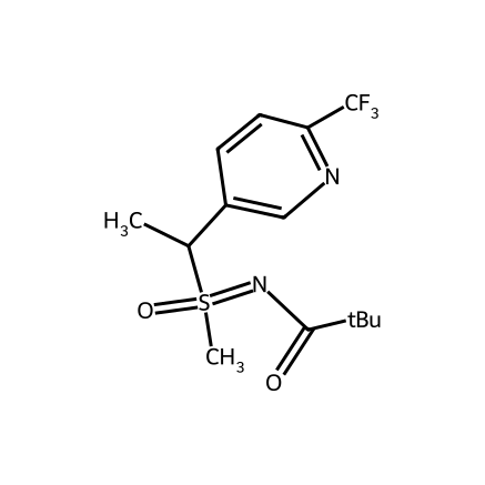 CC(c1ccc(C(F)(F)F)nc1)S(C)(=O)=NC(=O)C(C)(C)C